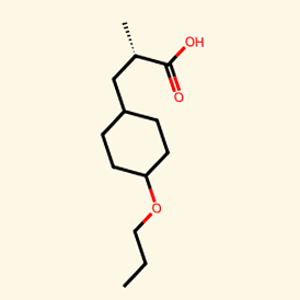 CCCOC1CCC(C[C@H](C)C(=O)O)CC1